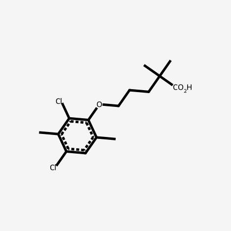 Cc1cc(Cl)c(C)c(Cl)c1OCCCC(C)(C)C(=O)O